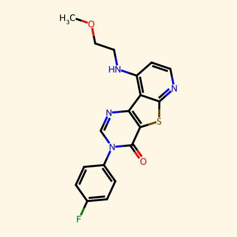 COCCNc1ccnc2sc3c(=O)n(-c4ccc(F)cc4)cnc3c12